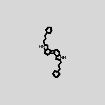 c1ccc(CCCc2cc3c4c(ccc3[nH]2)-c2c-4ccc3[nH]c(CCCc4ccccc4)cc23)cc1